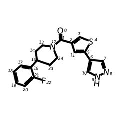 O=C(c1csc(-c2cn[nH]c2)c1)N1CCC(c2ccccc2F)CC1